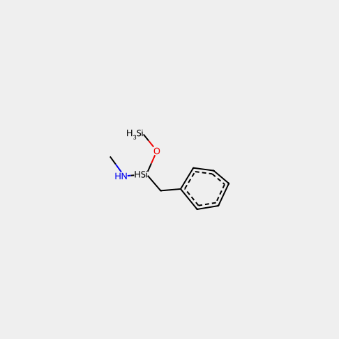 CN[SiH](Cc1ccccc1)O[SiH3]